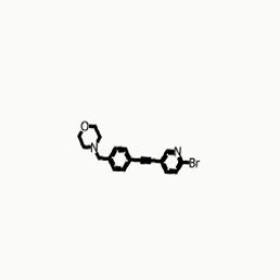 Brc1ccc(C#Cc2ccc(CN3CCOCC3)cc2)cn1